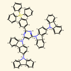 c1ccc(S(c2ccccc2)(c2ccccc2)c2ccc(-c3nc(-n4c5ccccc5c5cc(-n6c7ccccc7c7ccccc76)ccc54)cc(-n4c5ccccc5c5cc(-n6c7ccccc7c7ccccc76)ccc54)n3)cc2)cc1